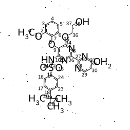 COc1ccccc1Oc1c(NS(=O)(=O)c2ccc(C(C)(C)C)cc2)nc(-c2ncccn2)nc1OCCO.O